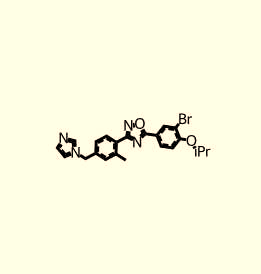 Cc1cc(Cn2ccnc2)ccc1-c1noc(-c2ccc(OC(C)C)c(Br)c2)n1